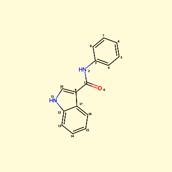 O=C(Nc1ccccc1)c1[c][nH]c2ccccc12